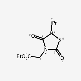 CCOC(=O)Cn1c(=O)sn(C(C)C)c1=O